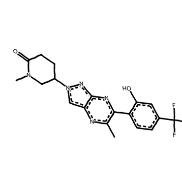 Cc1nc2cn(C3CCC(=O)N(C)C3)nc2nc1-c1ccc(C(F)(F)F)cc1O